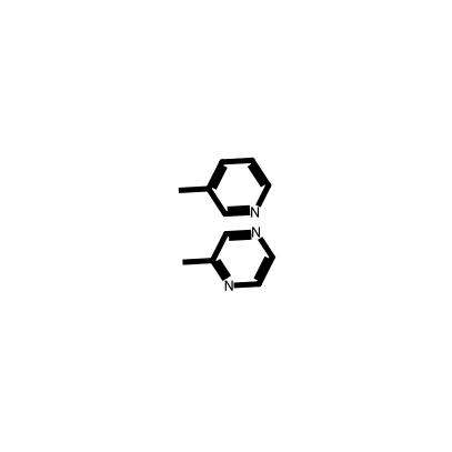 Cc1cccnc1.Cc1cnccn1